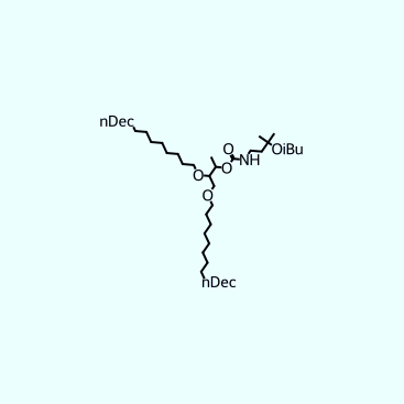 CCCCCCCCCCCCCCCCCCOCC(OCCCCCCCCCCCCCCCCCC)C(C)OC(=O)NCCC(C)(C)OCC(C)C